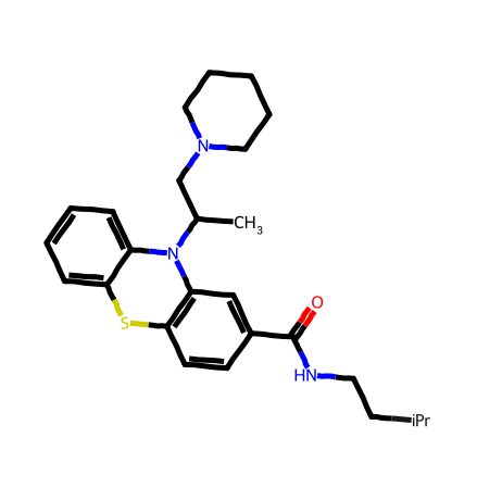 CC(C)CCNC(=O)c1ccc2c(c1)N(C(C)CN1CCCCC1)c1ccccc1S2